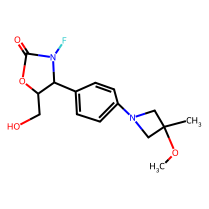 COC1(C)CN(c2ccc(C3C(CO)OC(=O)N3F)cc2)C1